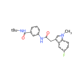 Cn1cc(CC(=O)Nc2cccc(C(=O)NC(C)(C)C)c2)c2cc(F)ccc21